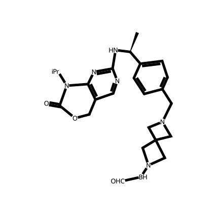 CC(C)N1C(=O)OCc2cnc(N[C@@H](C)c3ccc(CN4CC5(CN(BC=O)C5)C4)cc3)nc21